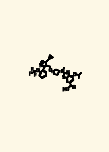 CC(C)Oc1cc(C(=O)O)cc2sc(N(C)[C@@H]3CC[C@H](OCc4c(-c5ccccc5OC(F)(F)F)noc4C4CC4)C3)nc12